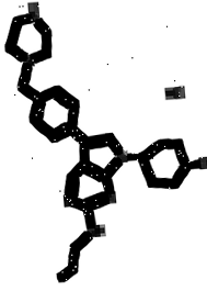 CCCNc1ncc2c(-c3ccc(CN4CCNCC4)cc3)cn([C@H]3CC[C@H](O)CC3)c2n1.Cl